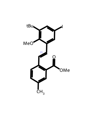 COC(=O)c1cc(C)ccc1/C=C/c1cc(I)cc(C(C)(C)C)c1OC